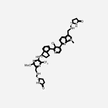 COc1nc(N[C@@H]2CCc3c(-c4nccc(-c5ccc6c(CNC[C@@H]7CCC(=O)N7)cn(C)c6n5)c4Cl)cccc32)c(C(F)(F)F)nc1CNC[C@@H]1CCC(=O)N1